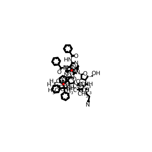 CC(C)(C)[Si](C)(C)O[C@@H]1[C@H](NC(c2ccccc2)(c2ccccc2)c2ccccc2)[C@@H](COP(=O)(N[C@H]2[C@@H](O[Si](C)(C)C(C)(C)C)[C@H](n3cnc4c(NC(=O)c5ccccc5)ncnc43)O[C@@H]2CO)OCCC#N)O[C@H]1n1cnc2c(NC(=O)c3ccccc3)ncnc21